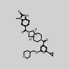 Cn1c(=O)[nH]c2ccc(C(=O)N3C[C@H]4CCN(C(=O)c5cc(OCC6CCOCC6)nc(C6CC6)c5)CC[C@H]4C3)cc21